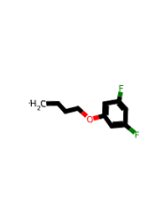 [CH2]CCCOc1cc(F)cc(F)c1